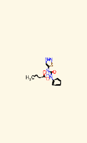 CCCC(=O)ON(C(=O)Nc1cnns1)c1ccccc1